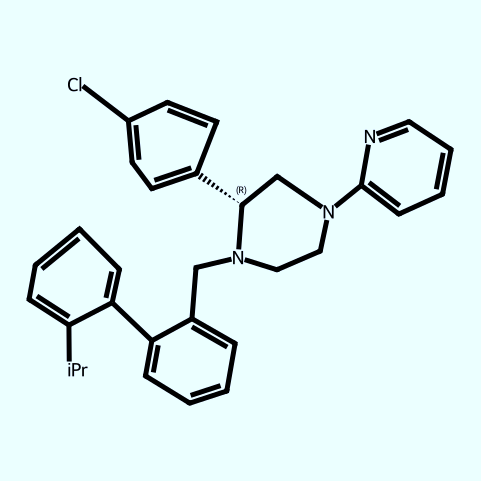 CC(C)c1ccccc1-c1ccccc1CN1CCN(c2ccccn2)C[C@H]1c1ccc(Cl)cc1